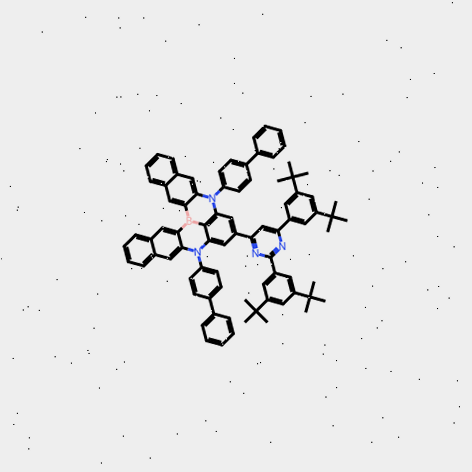 CC(C)(C)c1cc(-c2cc(-c3cc4c5c(c3)N(c3ccc(-c6ccccc6)cc3)c3cc6ccccc6cc3B5c3cc5ccccc5cc3N4c3ccc(-c4ccccc4)cc3)nc(-c3cc(C(C)(C)C)cc(C(C)(C)C)c3)n2)cc(C(C)(C)C)c1